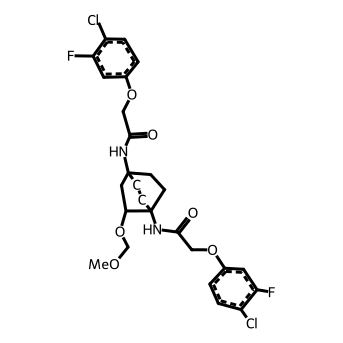 COCOC1CC2(NC(=O)COc3ccc(Cl)c(F)c3)CCC1(NC(=O)COc1ccc(Cl)c(F)c1)CC2